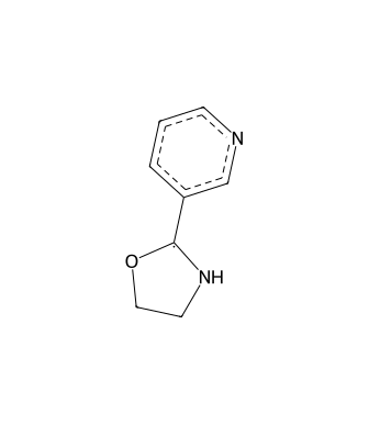 c1cncc([C]2NCCO2)c1